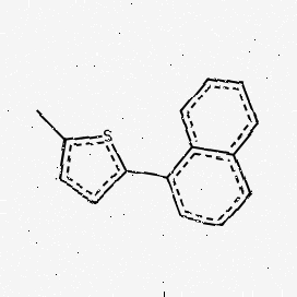 Cc1[c]cc(-c2cccc3ccccc23)s1